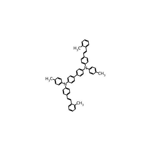 Cc1ccc(N(c2ccc(/C=C/c3ccccc3C)cc2)c2ccc(-c3ccc(N(c4ccc(C)cc4)c4ccc(/C=C/c5ccccc5C)cc4)cc3)cc2)cc1